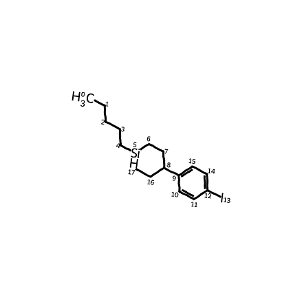 CCCCC[SiH]1CCC(c2ccc(I)cc2)CC1